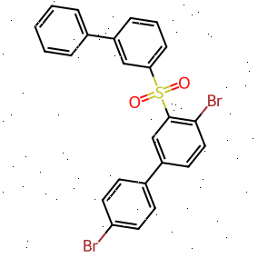 O=S(=O)(c1cccc(-c2ccccc2)c1)c1cc(-c2ccc(Br)cc2)ccc1Br